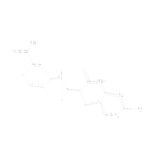 COc1ncc2cc(C(=O)Nc3cc(C(N)=O)ccc3Cl)c(=O)[nH]c2n1